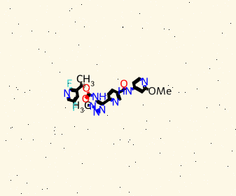 COc1cc(NC(=O)c2ccc(-c3nnn(C)c3NC(=O)O[C@H](C)c3cc(F)cnc3F)nc2)ccn1